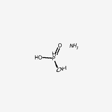 N.O=[PH](O)O